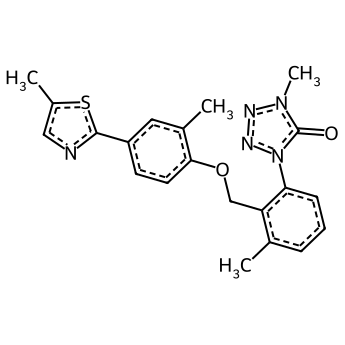 Cc1cnc(-c2ccc(OCc3c(C)cccc3-n3nnn(C)c3=O)c(C)c2)s1